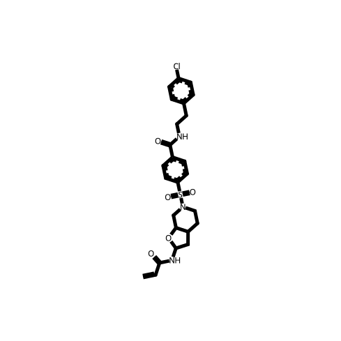 C=CC(=O)NC1CC2CCN(S(=O)(=O)c3ccc(C(=O)NCCc4ccc(Cl)cc4)cc3)CC2O1